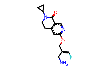 NCC(=CF)COc1cc2c(cn1)C(=O)N(C1CC1)CC2